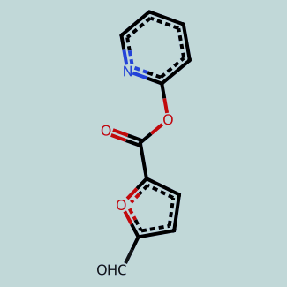 O=Cc1ccc(C(=O)Oc2ccccn2)o1